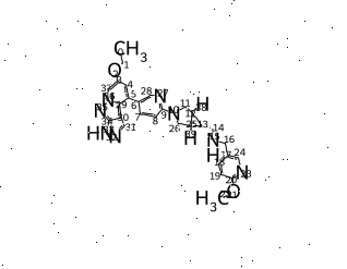 CCOc1cc(-c2ccc(N3C[C@@H]4[C@H](CNCc5ccc(OC)nc5)[C@@H]4C3)nc2)c2c3cn[nH]c3nn2c1